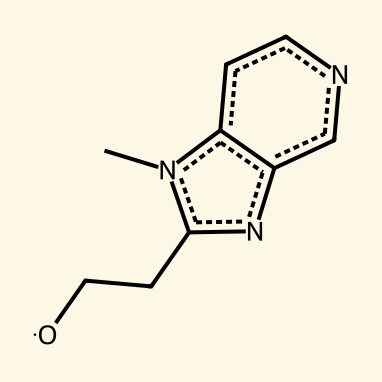 Cn1c(CC[O])nc2cnccc21